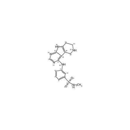 CNS(=O)(=O)c1cccc(Nc2ncnc3[nH]c4c(c23)CNCC4)c1